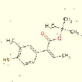 CC=C(C(=O)OC(C)(C)C)c1ccc(S)c(C)c1